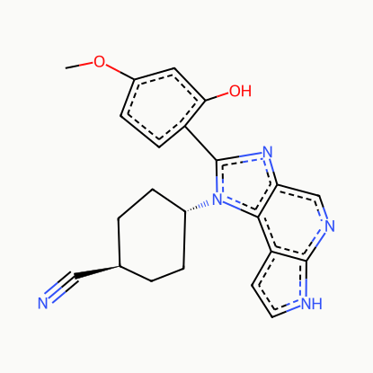 COc1ccc(-c2nc3cnc4[nH]ccc4c3n2[C@H]2CC[C@H](C#N)CC2)c(O)c1